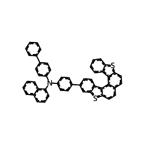 c1ccc(-c2ccc(N(c3ccc(-c4ccc5c(c4)sc4ccc6ccc7sc8ccccc8c7c6c45)cc3)c3cccc4ccccc34)cc2)cc1